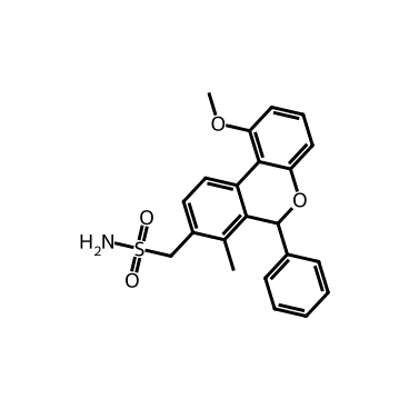 COc1cccc2c1-c1ccc(CS(N)(=O)=O)c(C)c1C(c1ccccc1)O2